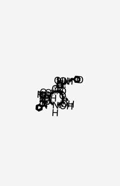 CC[C@H]1OC(=O)[C@H](C)[C@@H](O[C@H]2C[C@@](C)(OC)[C@](O)(CNCCC3CCOCC3)[C@H](C)O2)[C@H](C)[C@@H](O[C@@H]2O[C@H](C)C[C@H](N(C)C(=O)N(C)c3ccccc3)[C@H]2O)[C@](C)(O)C[C@@H](C)CN[C@H](C)[C@@H](O)[C@]1(C)O